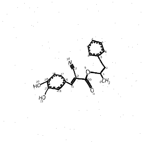 CC(Cc1ccccc1)OC(=O)/C(C#N)=C/c1ccc(O)c(O)c1